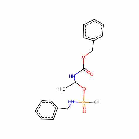 CC(NC(=O)OCc1ccccc1)OP(C)(=O)NCc1ccccc1